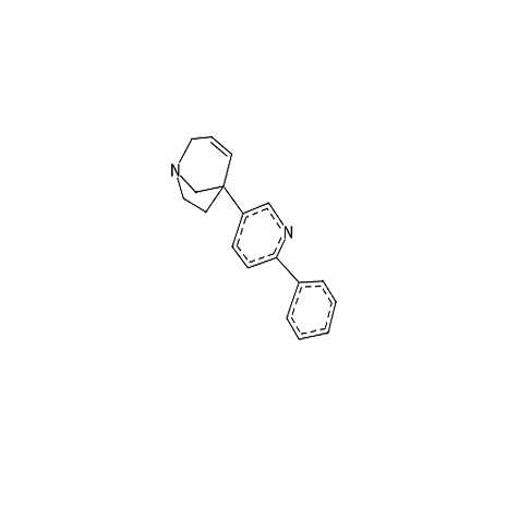 C1=CC2(c3ccc(-c4ccccc4)nc3)CCN(C1)C2